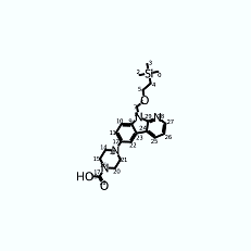 C[Si](C)(C)CCOCn1c2ccc(N3CCN(C(=O)O)CC3)cc2c2cccnc21